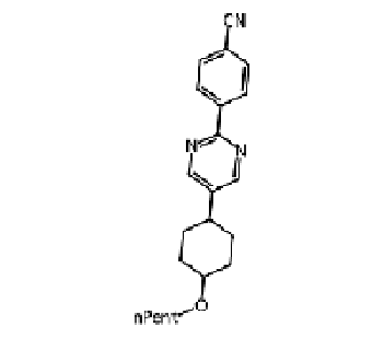 CCCCCOC1CCC(c2cnc(-c3ccc(C#N)cc3)nc2)CC1